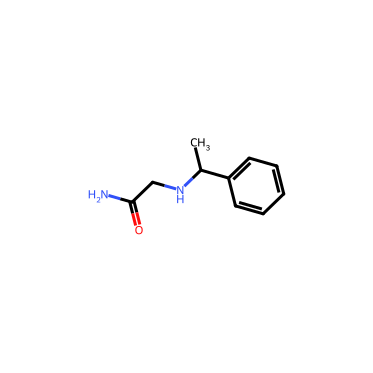 CC(NCC(N)=O)c1ccccc1